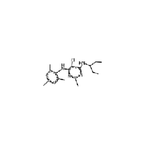 CCC(CC)Nc1nc(C)nc(Nc2c(C)cc(C)cc2C)c1Cl